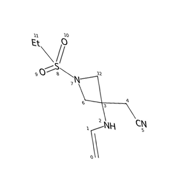 C=CNC1(CC#N)CN(S(=O)(=O)CC)C1